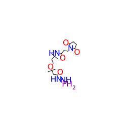 CC(C)(CCOC(C)(C)CC(=O)NNP)NC(=O)CCN1C(=O)CCC1=O